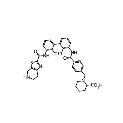 O=C(Nc1cccc(-c2cccc(NC(=O)c3nc4c(s3)CNCC4)c2F)c1Cl)c1ccc(CN2CCCCC2C(=O)O)cn1